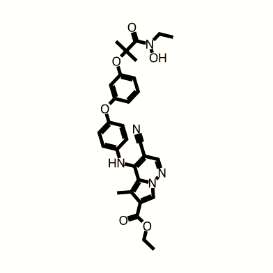 CCOC(=O)c1cn2ncc(C#N)c(Nc3ccc(Oc4cccc(OC(C)(C)C(=O)N(O)CC)c4)cc3)c2c1C